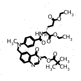 CCOC(=O)CC[C@@H](NC(=O)c1ccc(N(C)Cc2ccc3ncn(COC(=O)C(C)(C)C)c(=O)c3c2)cc1)C(=O)OCC